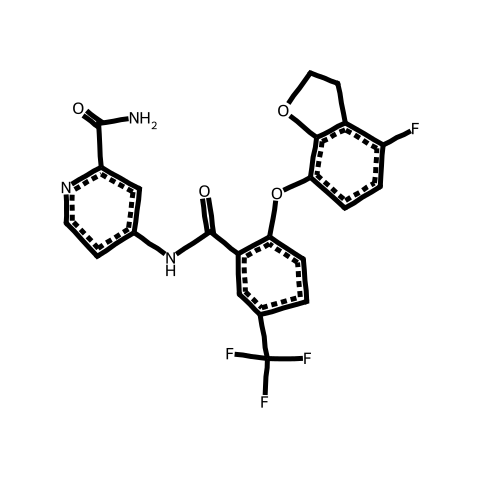 NC(=O)c1cc(NC(=O)c2cc(C(F)(F)F)ccc2Oc2ccc(F)c3c2OCC3)ccn1